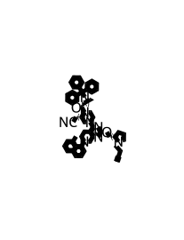 C#CCCN1CCC[C@H]1COc1nc2c(c(N3CCN(C(=O)[C@H]4CN4C(c4ccccc4)(c4ccccc4)c4ccccc4)[C@@H](CC#N)C3)n1)CCN(c1cccc3cccc(C)c13)C2